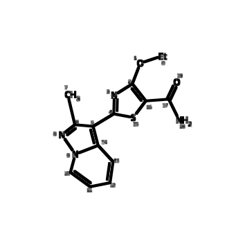 CCOc1nc(-c2c(C)nn3ccccc23)sc1C(N)=O